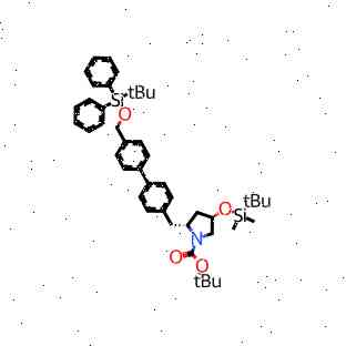 CC(C)(C)OC(=O)N1C[C@H](O[Si](C)(C)C(C)(C)C)C[C@H]1Cc1ccc(-c2ccc(CO[Si](c3ccccc3)(c3ccccc3)C(C)(C)C)cc2)cc1